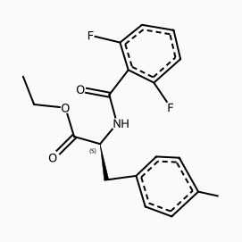 CCOC(=O)[C@H](Cc1ccc(C)cc1)NC(=O)c1c(F)cccc1F